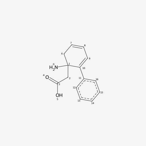 NC1(CC(=O)O)CC=CC=C1c1ccccc1